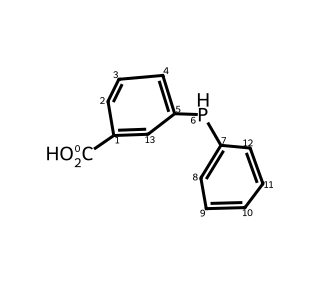 O=C(O)c1cccc(Pc2ccccc2)c1